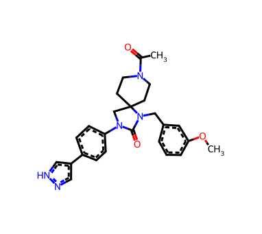 COc1cccc(CN2C(=O)N(c3ccc(-c4cn[nH]c4)cc3)CC23CCN(C(C)=O)CC3)c1